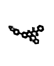 CCc1ccc(-c2ccc3c(=O)n(CC4CCCO4)c(NC(=O)c4ccccc4)nc3c2)cc1